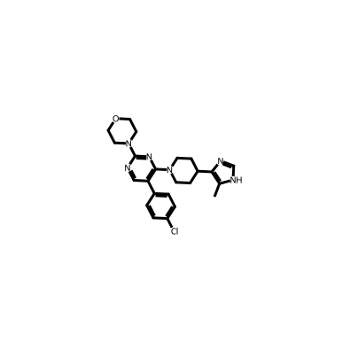 Cc1[nH]cnc1C1CCN(c2nc(N3CCOCC3)ncc2-c2ccc(Cl)cc2)CC1